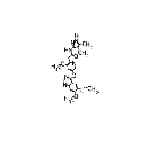 CCOc1cc2c(Oc3cnc(CC(=O)Nc4n[nH]c(C)c4C)c(OC)c3)ncnc2cc1OC